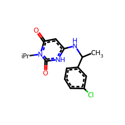 CC(Nc1cc(=O)n(C(C)C)c(=O)[nH]1)c1cccc(Cl)c1